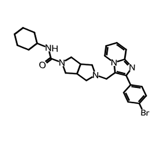 O=C(NC1CCCCC1)N1CC2CN(Cc3c(-c4ccc(Br)cc4)nc4ccccn34)CC2C1